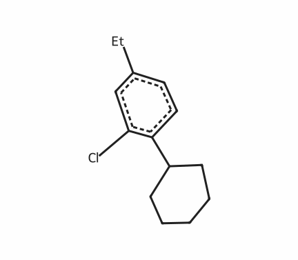 CCc1ccc(C2CCCCC2)c(Cl)c1